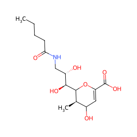 CCCCC(=O)NC[C@H](O)[C@H](O)C1OC(C(=O)O)=CC(O)[C@H]1C